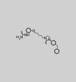 NC(=S)Nc1cccc(OCCCCCN2CCN(c3ccc(Cc4ccccc4)cc3)C2=S)c1